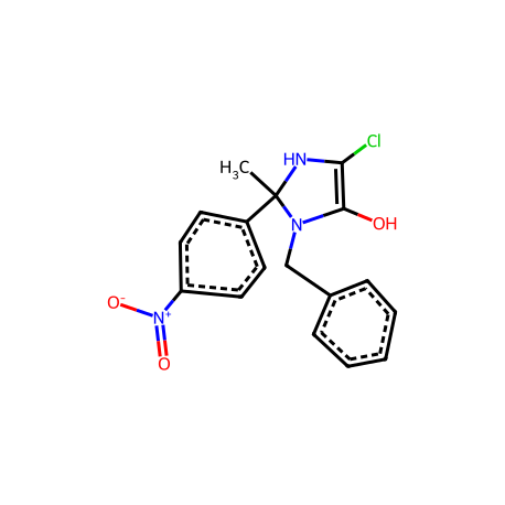 CC1(c2ccc([N+](=O)[O-])cc2)NC(Cl)=C(O)N1Cc1ccccc1